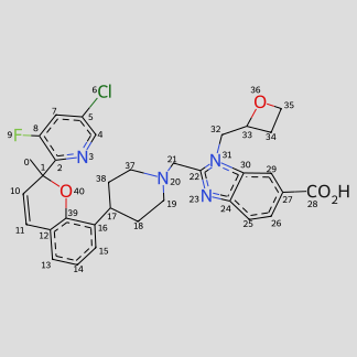 CC1(c2ncc(Cl)cc2F)C=Cc2cccc(C3CCN(Cc4nc5ccc(C(=O)O)cc5n4CC4CCO4)CC3)c2O1